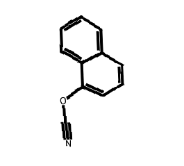 N#COc1c[c][c]c2ccccc12